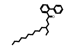 CCCCCCCCCCC(CC)CCC(=O)c1ccccc1-c1ccccc1